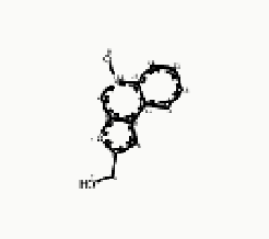 [O-][n+]1cc2oc(CO)cc2c2ccccc21